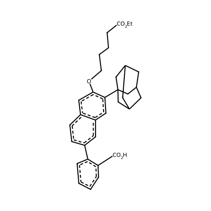 CCOC(=O)CCCCOc1cc2ccc(-c3ccccc3C(=O)O)cc2cc1C12CC3CC(CC(C3)C1)C2